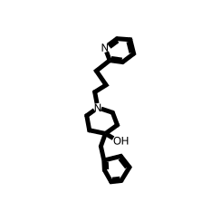 OC1(Cc2ccccc2)CCN(CCCc2ccccn2)CC1